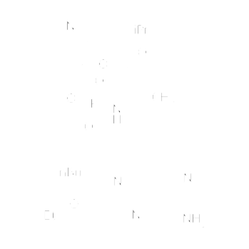 CCCC[C@H](CO[P@](=O)(N[C@@H](C)C(=O)OC(C)C)Oc1cccnc1)n1c(COCC)nc2c(N)nc3ccccc3c21